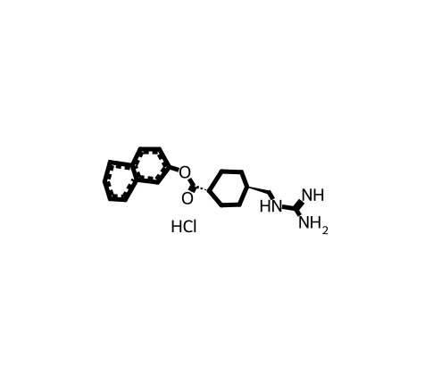 Cl.N=C(N)NC[C@H]1CC[C@H](C(=O)Oc2ccc3ccccc3c2)CC1